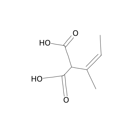 CC=C(C)C(C(=O)O)C(=O)O